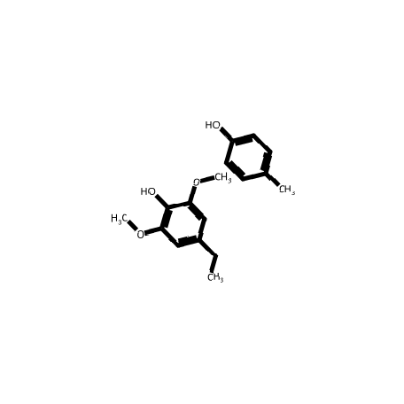 CCc1cc(OC)c(O)c(OC)c1.Cc1ccc(O)cc1